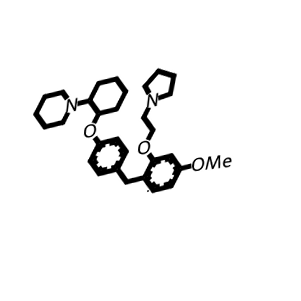 COc1c[c]c(Cc2ccc(OC3CCCCC3N3CCCCC3)cc2)c(OCCN2CCCC2)c1